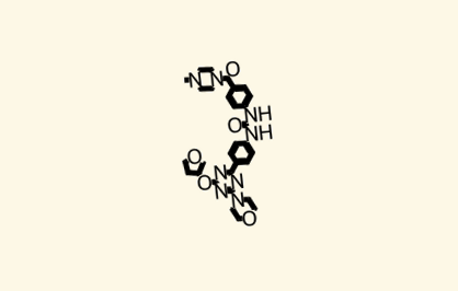 CN1CCN(C(=O)c2ccc(NC(=O)Nc3ccc(-c4nc(OC5CCOC5)nc(N5CCOCC5)n4)cc3)cc2)CC1